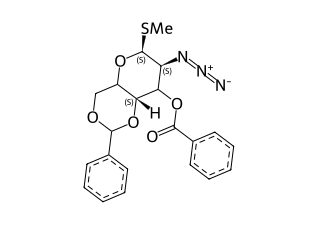 CS[C@@H]1OC2COC(c3ccccc3)O[C@H]2C(OC(=O)c2ccccc2)[C@@H]1N=[N+]=[N-]